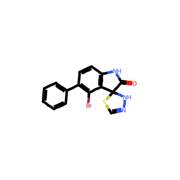 O=C1Nc2ccc(-c3ccccc3)c(Br)c2C12NN=CS2